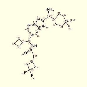 N[C@H](c1cn2ncc(C(NC(=O)CC3CC(F)(F)C3)C3CCC3)cc2n1)C1CCC(F)(F)CC1